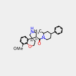 COc1cccc2c1OCC[C@]21CNC[C@H]1C(=O)N1CCC(c2ccccc2)CC1C